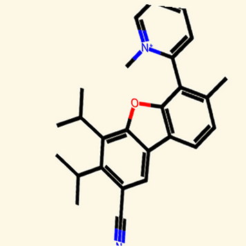 Cc1ccc2c(oc3c(C(C)C)c(C(C)C)c(C#N)cc32)c1-c1cccc[n+]1C